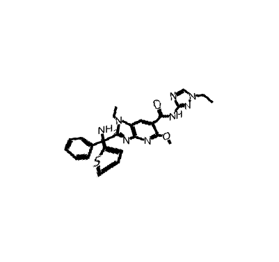 CCn1cnc(NC(=O)c2cc3c(nc2OC)nc(C(N)(c2ccccc2)c2cccs2)n3CC)n1